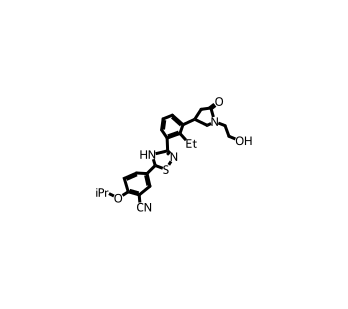 CCc1c(C2=NSC(c3ccc(OC(C)C)c(C#N)c3)N2)cccc1C1CC(=O)N(CCO)C1